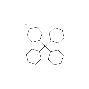 C1CCC([N+](C2CCCCC2)(C2CCCCC2)C2CCCCC2)CC1.[Cu]